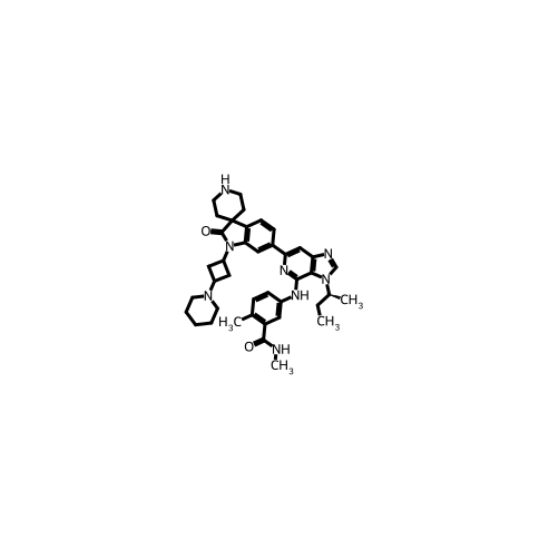 CC[C@H](C)n1cnc2cc(-c3ccc4c(c3)N(C3CC(N5CCCCC5)C3)C(=O)C43CCNCC3)nc(Nc3ccc(C)c(C(=O)NC)c3)c21